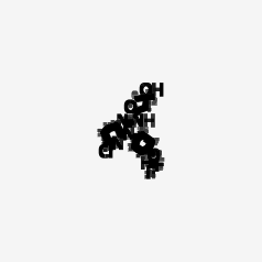 CC(C)(O)CC(=O)Nc1nc2ccc(Cl)nc2n1-c1ccc(OC(F)(F)F)cc1